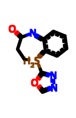 O=C1CC[SH2](c2nnco2)=c2ccccc2=N1